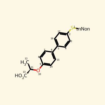 CCCCCCCCCSc1ccc(-c2ccc(O[C@H](C)C(=O)O)cc2)cc1